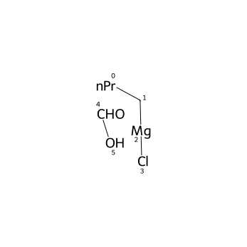 CCC[CH2][Mg][Cl].O=CO